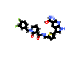 NC(=O)c1cnc2c(c1)C(c1ccc(CNC(=O)c3cccn(Cc4ccc(F)c(F)c4)c3=O)s1)CN2